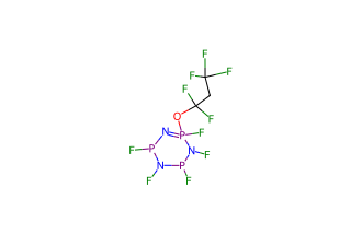 FN1P(F)N=P(F)(OC(F)(F)CC(F)(F)F)N(F)P1F